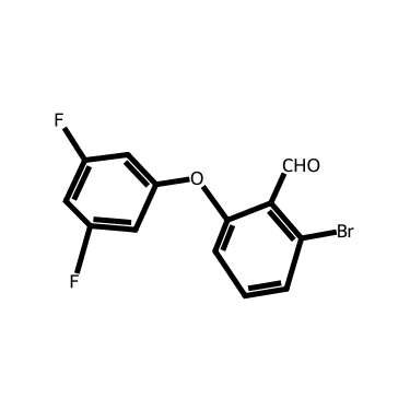 O=Cc1c(Br)cccc1Oc1cc(F)cc(F)c1